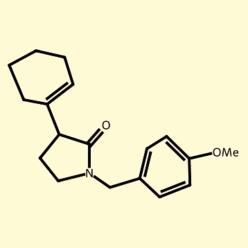 COc1ccc(CN2CCC(C3=CCCCC3)C2=O)cc1